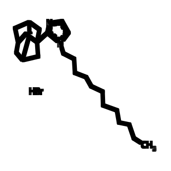 Br.CCCCCCCCCCCCn1ccnc1C12CC3CC(CC(C3)C1)C2